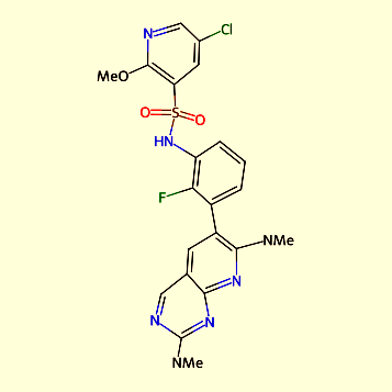 CNc1ncc2cc(-c3cccc(NS(=O)(=O)c4cc(Cl)cnc4OC)c3F)c(NC)nc2n1